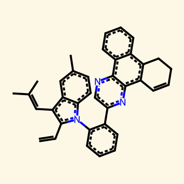 C=Cc1c(C=C(C)C)c2cc(C)ccc2n1-c1ccccc1-c1cnc2c(n1)c1c(c3ccccc32)CCC=C1